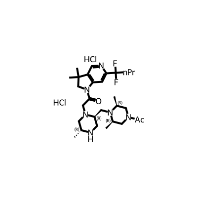 CCCC(F)(F)c1cc2c(cn1)C(C)(C)CN2C(=O)CN1C[C@@H](C)NC[C@@H]1CN1[C@H](C)CN(C(C)=O)C[C@@H]1C.Cl.Cl